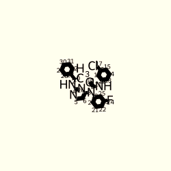 C[C@H](Nc1nccc(N(C(=O)Nc2cccc(Cl)c2)c2cccc(F)c2)n1)c1ccccc1